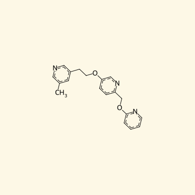 Cc1cncc(CCOc2ccc(COc3ccccn3)nc2)c1